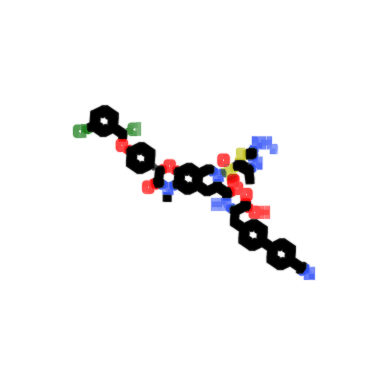 Cc1nc(N)sc1S(=O)(=O)N1Cc2cc3c(cc2CC1C(=O)NC(Cc1ccc(-c2ccc(C#N)cc2)cc1)C(=O)O)N(C)C(=O)[C@H](c1ccc(O[C@@H](Cl)c2cccc(Cl)c2)cc1)O3